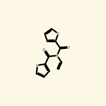 C=CN(C(=O)c1ccco1)C(=O)c1ccco1